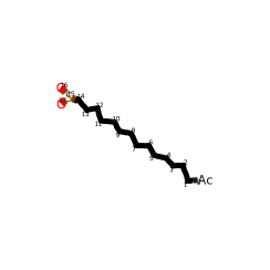 CC(=O)CCCCCCCCCCCCCC=S(=O)=O